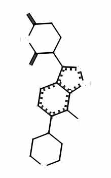 O=C1CCC(c2n[nH]c3c(F)c(C4CCNCC4)ccc23)C(=O)N1